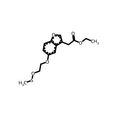 CCOC(=O)Cc1coc2ccc(OCCOSC)cc12